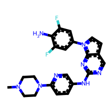 CN1CCN(c2ccc(Nc3ncc4ccn(-c5cc(F)c(N)c(F)c5)c4n3)cn2)CC1